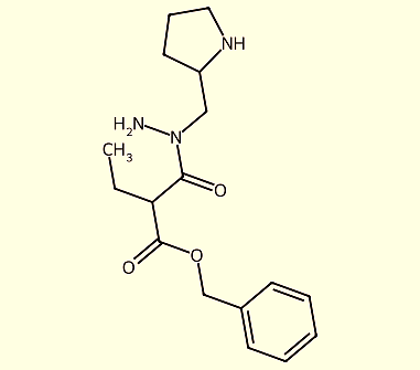 CCC(C(=O)OCc1ccccc1)C(=O)N(N)CC1CCCN1